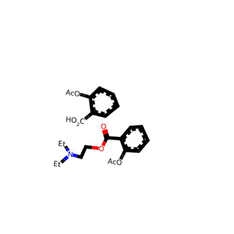 CC(=O)Oc1ccccc1C(=O)O.CCN(CC)CCOC(=O)c1ccccc1OC(C)=O